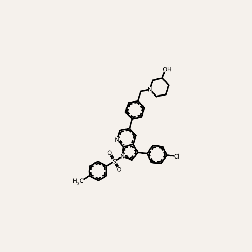 Cc1ccc(S(=O)(=O)n2cc(-c3ccc(Cl)cc3)c3cc(-c4ccc(CN5CCCC(O)C5)cc4)cnc32)cc1